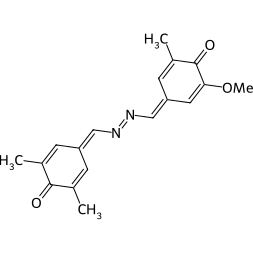 COC1=CC(=CN=NC=C2C=C(C)C(=O)C(C)=C2)C=C(C)C1=O